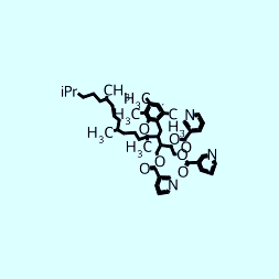 Cc1[c]c(C)c2c(c1C)OC(C)(CCCC(C)CCCC(C)CCCC(C)C)C(C(COC(=O)c1cccnc1)C(COC(=O)c1cccnc1)OC(=O)c1cccnc1)C2